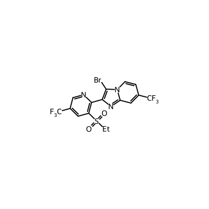 CCS(=O)(=O)c1cc(C(F)(F)F)cnc1-c1nc2cc(C(F)(F)F)ccn2c1Br